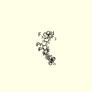 CC(C)c1c(-c2ccc(C(O)(C(F)(F)F)C(F)(F)F)cc2)cc(F)c(CN2CC3(C2)CN(S(C)(=O)=O)C3)c1F